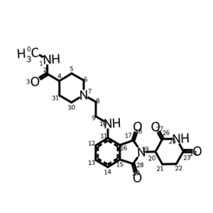 CNC(=O)C1CCN(CCNc2cccc3c2C(=O)N(C2CCC(=O)NC2=O)C3=O)CC1